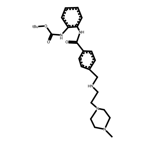 CN1CCN(CCNCc2ccc(C(=O)Nc3ccccc3NC(=O)OC(C)(C)C)cc2)CC1